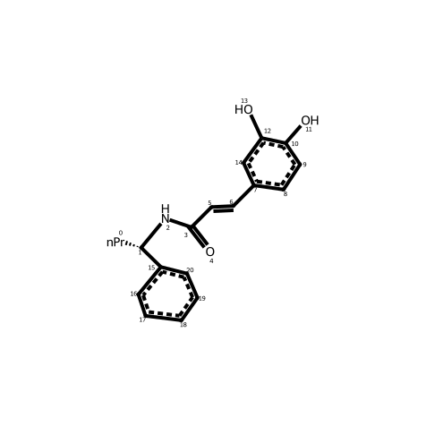 CCC[C@H](NC(=O)/C=C/c1ccc(O)c(O)c1)c1ccccc1